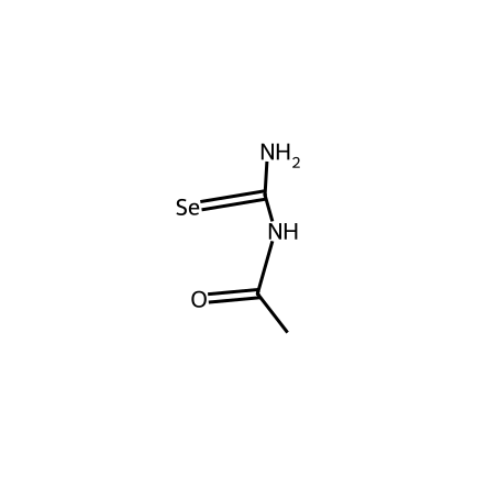 CC(=O)NC(N)=[Se]